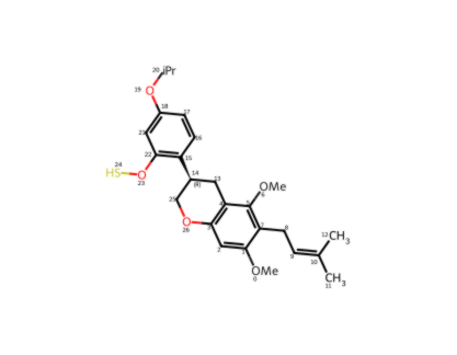 COc1cc2c(c(OC)c1CC=C(C)C)C[C@H](c1ccc(OC(C)C)cc1OS)CO2